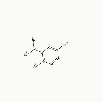 Brc1cnc(Br)c(C(Br)Br)c1